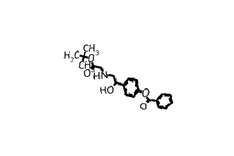 CC(C)(C)OC(=O)CNCC(O)c1ccc(OC(=O)c2ccccc2)cc1